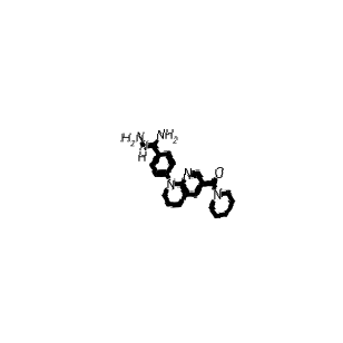 NNC(N)c1ccc(N2CCCc3cc(C(=O)N4CCCCC4)cnc32)cc1